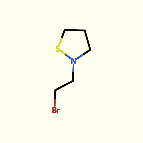 BrCCN1CCCS1